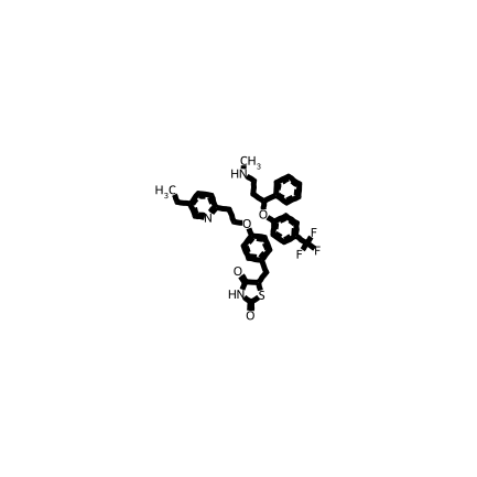 CCc1ccc(CCOc2ccc(CC3SC(=O)NC3=O)cc2)nc1.CNCCC(Oc1ccc(C(F)(F)F)cc1)c1ccccc1